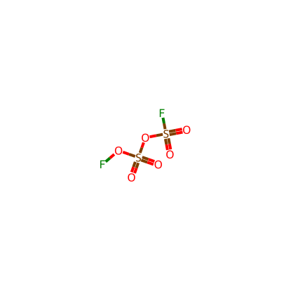 O=S(=O)(F)OS(=O)(=O)OF